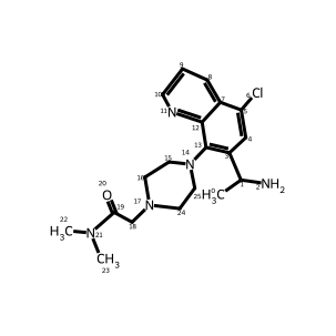 CC(N)c1cc(Cl)c2cccnc2c1N1CCN(CC(=O)N(C)C)CC1